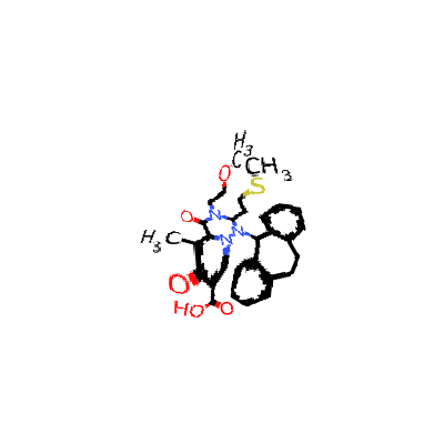 COCCN1C(=O)c2c(C)c(=O)c(C(=O)O)cn2N(C2c3ccccc3CCc3ccccc32)C1CCSC